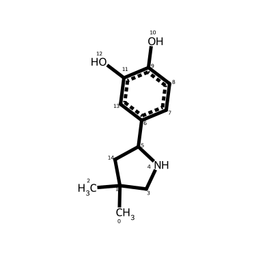 CC1(C)CNC(c2ccc(O)c(O)c2)C1